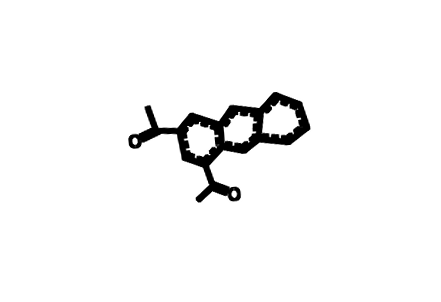 CC(=O)c1cc(C(C)=O)c2cc3ccccc3cc2c1